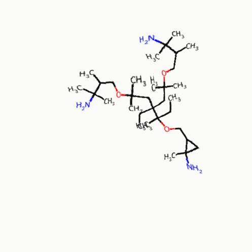 CCC(CC(C)(C)OCC(C)C(C)(C)N)(CC(C)(C)OCC(C)C(C)(C)N)C(C)(CC)OCC1CC1(C)N